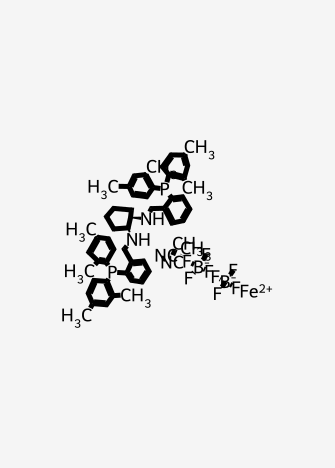 CC#N.CC#N.Cc1ccc(P(c2ccc(C)cc2C)c2ccccc2CN[C@@H]2CCCC[C@H]2NCc2ccccc2P(c2ccc(C)cc2C)c2ccc(C)cc2C)c(C)c1.F[B-](F)(F)F.F[B-](F)(F)F.[Fe+2]